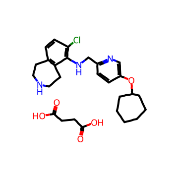 Clc1ccc2c(c1NCc1ccc(OC3CCCCCC3)cn1)CCNCC2.O=C(O)CCC(=O)O